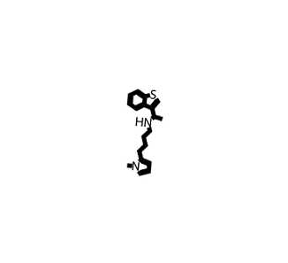 CC(NCCCCc1cccn1C)c1csc2ccccc12